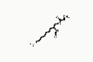 C=CC(=O)OCC(CCCCCCCC)N=C=O